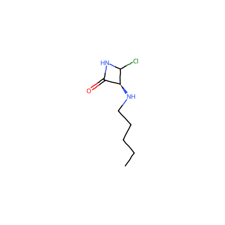 CCCCCN[C@H]1C(=O)NC1Cl